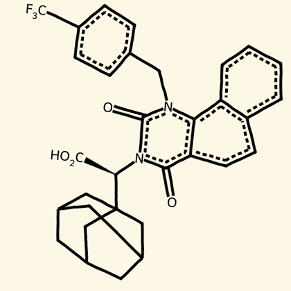 O=C(O)[C@@H](n1c(=O)c2ccc3ccccc3c2n(Cc2ccc(C(F)(F)F)cc2)c1=O)C12CC3CC(CC(C3)C1)C2